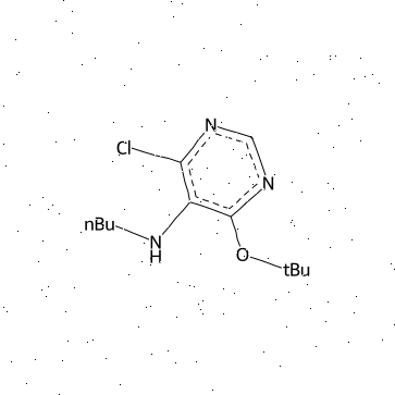 CCCCNc1c(Cl)ncnc1OC(C)(C)C